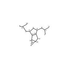 CC(C)CC1CC(CC(C)C)C2C1CC1OC12